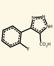 O=C(O)c1[nH]nnc1-c1ccccc1F